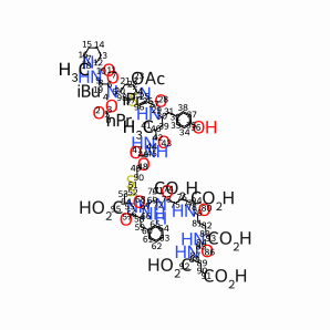 CCCC(=O)OCN(C(=O)[C@@H](NC(=O)[C@H]1CCCCN1C)C(C)CC)[C@H](C[C@@H](OC(C)=O)c1nc(C(=O)N[C@@H](Cc2ccc(O)cc2)C[C@H](C)C(=O)NNC(=O)OCCSSC[C@H](NC(=O)[C@H](Cc2ccccc2)NC(=O)[C@H](CC(=O)O)NC(=O)CC[C@H](NC(=O)CCC(NC(=O)N[C@@H](CCC(=O)O)C(=O)O)C(=O)O)C(=O)O)C(=O)O)cs1)C(C)C